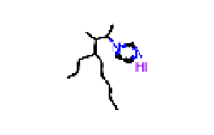 CCCCCC(CCC)C(C)C(C)n1ccnc1.I